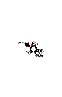 COCOc1cc(N2CCOC2=O)cc2c1C(=O)O[C@@H](C)[C@H](C)/C=C\[C@@H](OCc1ccc(OC)cc1)[C@H]1OC(C)(C)O[C@H]1C/C=C/2